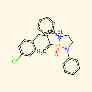 C=C(C(Cc1ccc(Cl)cc1)C(=O)OCC)P1(=O)N(c2ccccc2)CCN1c1ccccc1